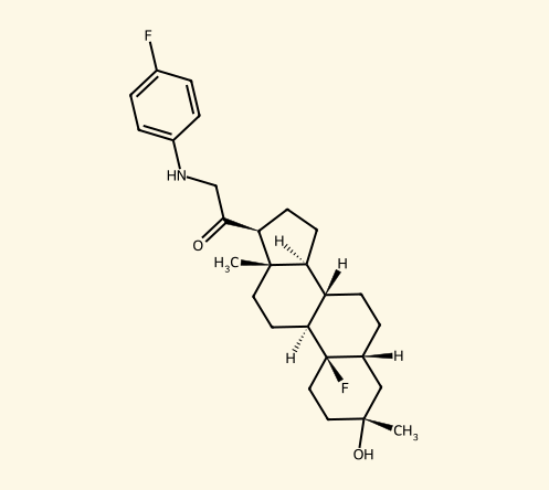 C[C@@]1(O)CC[C@@]2(F)[C@H](CC[C@H]3[C@@H]4CC[C@H](C(=O)CNc5ccc(F)cc5)[C@@]4(C)CC[C@@H]32)C1